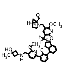 COc1nc(-c2cccc(-c3cccc4c3CC[C@@H]4Oc3nc(OC)c(CN4CC[C@@H]5C[C@@]54C=O)cc3C(F)(F)F)c2Cl)ccc1CN[C@H]1C[C@](C)(O)C1